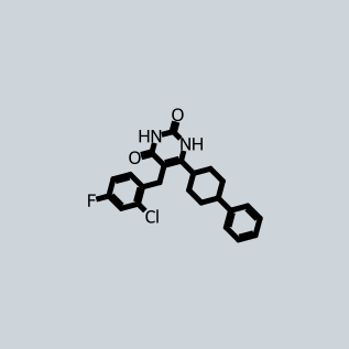 O=c1[nH]c(C2CCC(c3ccccc3)CC2)c(Cc2ccc(F)cc2Cl)c(=O)[nH]1